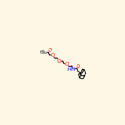 CC(C)(C)C(=O)COCCOCCOCCNC(=O)CC12CC3CC(CC(C3)C1)C2